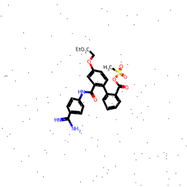 CCOC(=O)COc1ccc(-c2ccccc2C(=O)OS(C)(=O)=O)c(C(=O)Nc2ccc(C(=N)N)cc2)c1